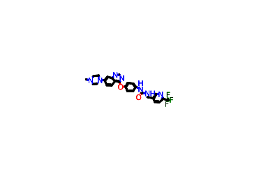 CN1CCN(c2ccc3c(Oc4ccc(NC(=O)NCc5ccc(C(F)(F)F)nc5)cc4)ncnc3c2)CC1